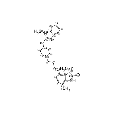 Cc1ccc(OCCCN2CCN(Cc3nc4ccccc4n3C)CC2)c2c1NC(=O)C2(C)C